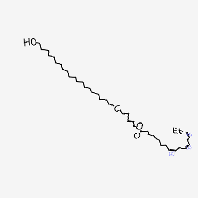 CC/C=C\C/C=C\C/C=C\CCCCCCCC(=O)OCCCCCCCCCCCCCCCCCCCCCCCCCCCCO